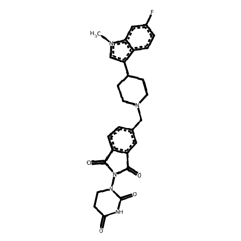 Cn1cc(C2CCN(Cc3ccc4c(c3)C(=O)N(N3CCC(=O)NC3=O)C4=O)CC2)c2ccc(F)cc21